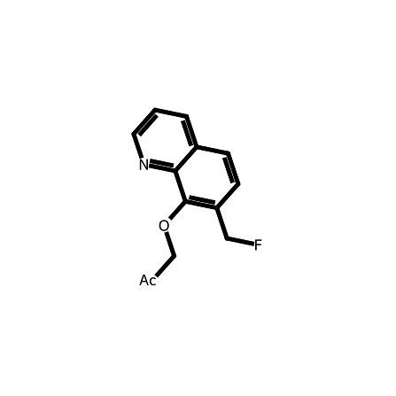 CC(=O)COc1c(CF)ccc2cccnc12